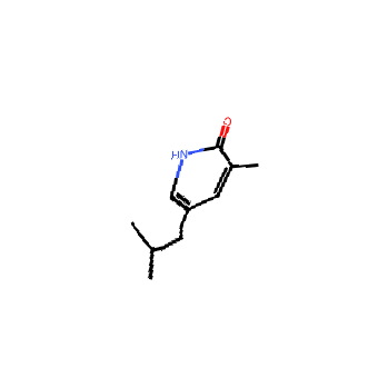 Cc1cc(CC(C)C)c[nH]c1=O